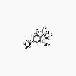 CC(C)OC(=O)C(N)(CC(C)(C)C)c1ccc(-c2ncn[nH]2)cc1F